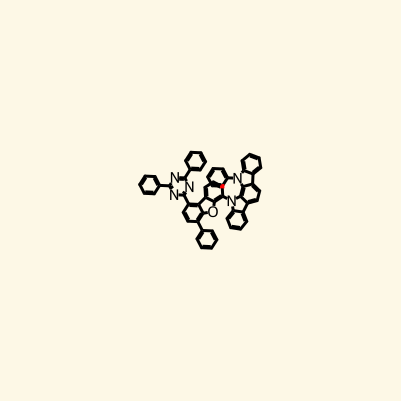 c1ccc(-c2nc(-c3ccccc3)nc(-c3ccc(-c4ccccc4)c4oc5c(-n6c7ccccc7c7ccc8c9ccccc9n(-c9ccccc9)c8c76)cccc5c34)n2)cc1